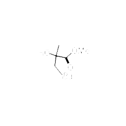 CCC(C)CC(C)(O)C(=O)OC